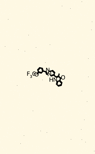 Cc1c(-c2ccc3nc(-c4cccc(OC(F)(F)F)c4)cn3c2)[nH]c2ccccc2c1=O